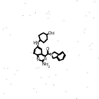 Nc1nc(C(=O)N2Cc3ccccc3C2)c2cc(NC3CCC(O)CC3)ccc2n1